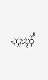 CO/N=C(\C)c1ccc(C)c2c1C[C@@]1(C)C[C@@]3(C)CC(C)=C(C(C)=O)C(=O)[C@@]3(C)C(C)=C1C2=O